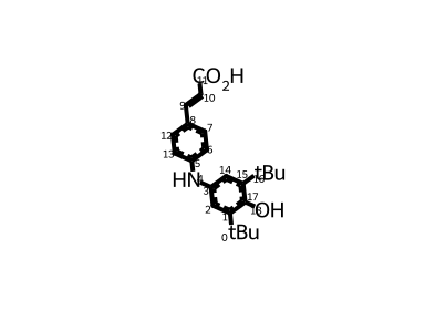 CC(C)(C)c1cc(Nc2ccc(C=CC(=O)O)cc2)cc(C(C)(C)C)c1O